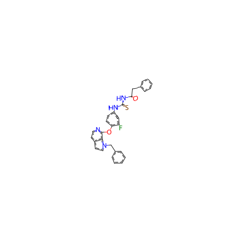 O=C(Cc1ccccc1)NC(=S)Nc1ccc(Oc2nccc3ccn(Cc4ccccc4)c23)c(F)c1